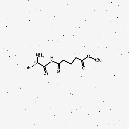 CC(C)[C@H](N)C(=O)NC(=O)CCCC(=O)OC(C)(C)C